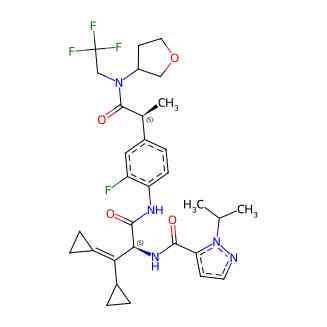 CC(C)n1nccc1C(=O)N[C@H](C(=O)Nc1ccc([C@H](C)C(=O)N(CC(F)(F)F)C2CCOC2)cc1F)C(=C1CC1)C1CC1